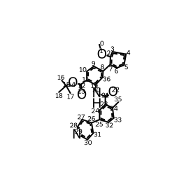 COc1ccccc1-c1ccc(C(=O)OC(C)(C)C)c(NC(=O)c2cc(-c3ccncc3)ccc2C)c1